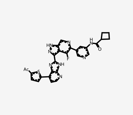 CC(=O)c1ccc(-c2ccnc3[nH]c(-c4n[nH]c5cnc(-c6cncc(NC(=O)C7CCC7)c6)c(F)c45)nc23)s1